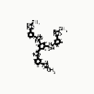 Cc1nnc(-c2cccc(-c3nsc(-c4cc(-c5nc(-c6cccc(-c7nnc(C)o7)c6)ns5)cc(-c5nc(-c6cccc(-c7nnc(C)o7)c6)ns5)c4)n3)c2)o1